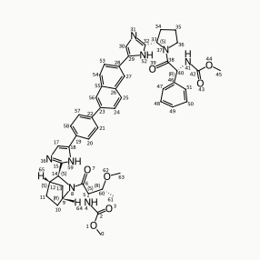 COC(=O)N[C@H](C(=O)N1[C@@H]2CC[C@@H](C2)[C@H]1c1ncc(-c2ccc(-c3ccc4cc(-c5cnc([C@@H]6CCCN6C(=O)[C@H](NC(=O)OC)c6ccccc6)[nH]5)ccc4c3)cc2)[nH]1)[C@@H](C)OC